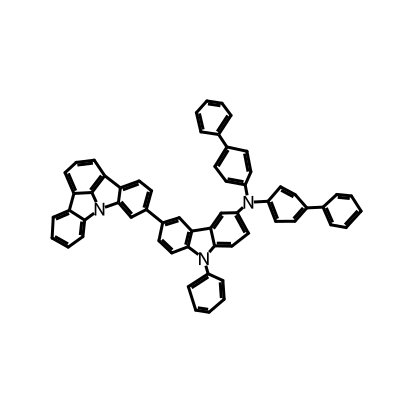 c1ccc(-c2ccc(N(c3ccc(-c4ccccc4)cc3)c3ccc4c(c3)c3cc(-c5ccc6c7cccc8c9ccccc9n(c6c5)c87)ccc3n4-c3ccccc3)cc2)cc1